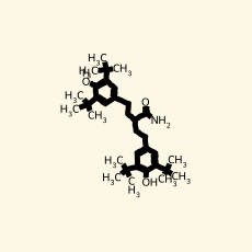 CC(C)(C)c1cc(CCC(CCc2cc(C(C)(C)C)c(O)c(C(C)(C)C)c2)C(N)=O)cc(C(C)(C)C)c1O